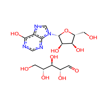 O=C[C@H](O)[C@H](O)[C@H](O)CO.OC[C@H]1O[C@@H](n2cnc3c(O)ncnc32)[C@H](O)[C@@H]1O